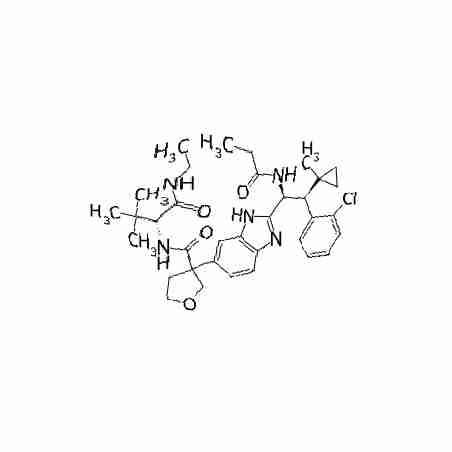 CCNC(=O)[C@H](NC(=O)C1(c2ccc3nc([C@@H](NC(=O)CC)[C@H](c4ccccc4Cl)C4(C)CC4)[nH]c3c2)CCOC1)C(C)(C)C